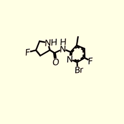 Cc1cc(F)c(Br)nc1NC(=O)C1CC(F)CN1